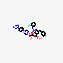 O=C(/C=C(/O)c1cc(Cc2ccc(F)cc2)cn(Cc2ccccc2F)c1=O)C(=O)N1CCN(c2ccc(-n3cncn3)cc2)CC1